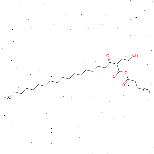 CCCCCCCCCCCCCCCCCC(=O)C(CCO)C(=O)OC(=O)CCC